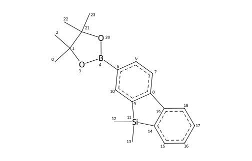 CC1(C)OB(c2ccc3c(c2)[Si](C)(C)c2ccccc2-3)OC1(C)C